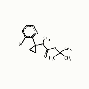 CN(C(=O)OC(C)(C)C)C1(c2ncccc2Br)CC1